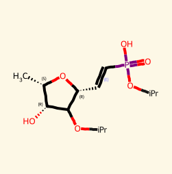 CC(C)OC1[C@@H](/C=C/P(=O)(O)OC(C)C)O[C@@H](C)[C@H]1O